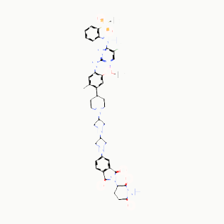 Cc1cc(Nc2ncc(Cl)c(Nc3ccccc3S(=O)(=O)C(C)C)n2)c(OC(C)C)cc1C1CCN(C2CN(C3CN(c4ccc5c(c4)C(=O)N(C4CCC(=O)NC4=O)C5=O)C3)C2)CC1